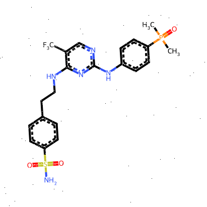 CP(C)(=O)c1ccc(Nc2ncc(C(F)(F)F)c(NCCc3ccc(S(N)(=O)=O)cc3)n2)cc1